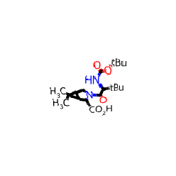 CC(C)(C)OC(=O)NC(C(=O)N1CC2C(C1C(=O)O)C2(C)C)C(C)(C)C